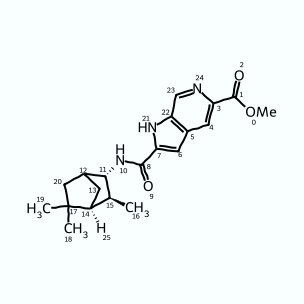 COC(=O)c1cc2cc(C(=O)N[C@H]3C4C[C@@H]([C@@H]3C)C(C)(C)C4)[nH]c2cn1